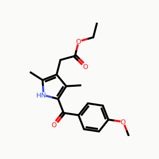 CCOC(=O)Cc1c(C)[nH]c(C(=O)c2ccc(OC)cc2)c1C